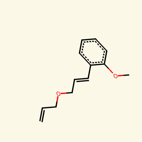 C=CCOC/C=C/c1ccccc1OC